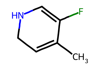 CC1=CCNC=C1F